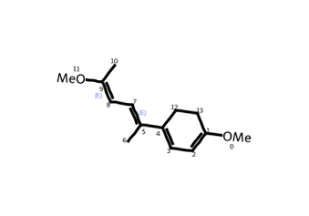 COC1=CC=C(/C(C)=C/C=C(\C)OC)CC1